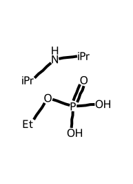 CC(C)NC(C)C.CCOP(=O)(O)O